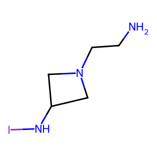 NCCN1CC(NI)C1